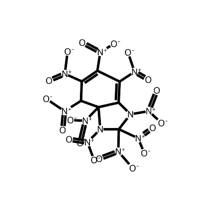 O=[N+]([O-])C1=C([N+](=O)[O-])C([N+](=O)[O-])C2([N+](=O)[O-])C(=C1[N+](=O)[O-])N([N+](=O)[O-])C([N+](=O)[O-])([N+](=O)[O-])N2[N+](=O)[O-]